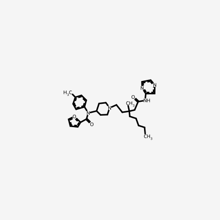 CCCCCC(C)(CCN1CCC(N(C(=O)c2ccco2)c2ccc(C)cc2)CC1)CC(=O)Nc1cnccn1